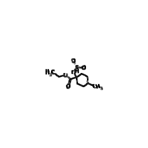 CCOC(=O)C1(O[SH](=O)=O)CCC(C)CC1